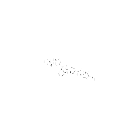 COc1ccc(NC(=O)c2ccc(C3=NC(C4CCCN(C(=O)C5(C)COC5)C4)=C4C=NC=C[N+]34N)cc2)nc1